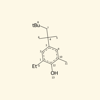 CCc1cc(C(C)(C)CC(C)(C)C)cc(C)c1O